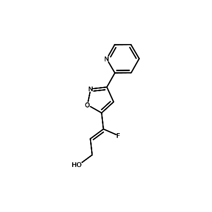 OC/C=C(\F)c1cc(-c2ccccn2)no1